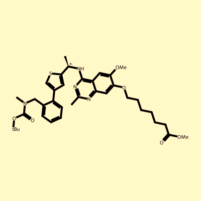 COC(=O)CCCCCCOc1cc2nc(C)nc(N[C@H](C)c3cc(-c4ccccc4CN(C)C(=O)OC(C)(C)C)cs3)c2cc1OC